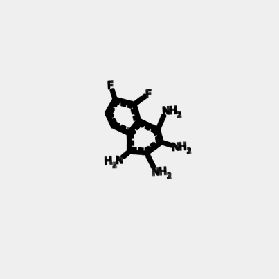 Nc1c(N)c(N)c2c(F)c(F)ccc2c1N